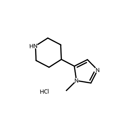 Cl.Cn1cncc1C1CCNCC1